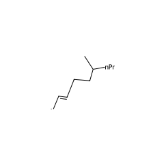 [CH2]C=CCCC(C)CCC